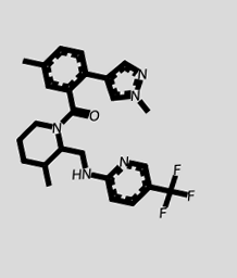 Cc1ccc(-c2cnn(C)c2)c(C(=O)N2CCCC(C)C2CNc2ccc(C(F)(F)F)cn2)c1